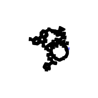 COc1ccc2c(c1)nc(O[C@@H]1C[C@H]3C(=O)N[C@]4(C(=O)NS(=O)(=O)C5(C)CC5)C[C@H]4/C=C\CCCCC[C@H](NC(=O)c4ccno4)C(=O)N3C1)c1ccc(F)cc12